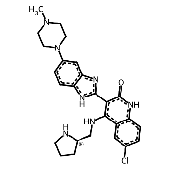 CN1CCN(c2ccc3[nH]c(-c4c(NC[C@H]5CCCN5)c5cc(Cl)ccc5[nH]c4=O)nc3c2)CC1